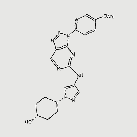 COc1ccc(-n2nnc3cnc(Nc4cnn([C@H]5CC[C@@H](O)CC5)c4)nc32)nc1